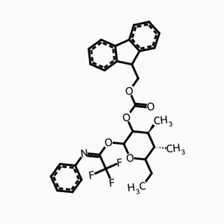 CCC1OC(O/C(=N/c2ccccc2)C(F)(F)F)C(OC(=O)OCC2c3ccccc3-c3ccccc32)[C@@H](C)[C@@H]1C